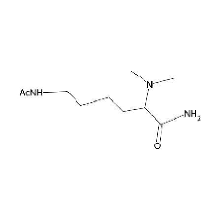 CC(=O)[15NH]CCCCC(C(N)=O)N(C)C